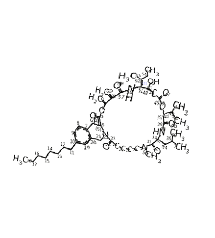 C=C1OC(=O)[C@@H]2Cc3ccc(CCCCCCCC)cc3CN2C(=O)CCCCN(C)C(=O)[C@H](CC(C)C)NC(=O)[C@H](C(C)C)OC(=O)C[C@H](O)/C(=C(/C)CC)NC(=O)C1=C